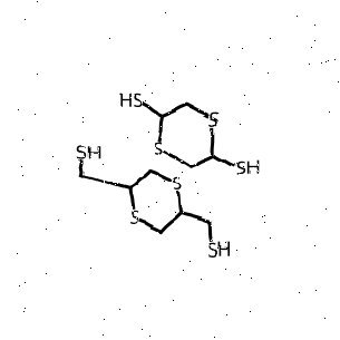 SC1CSC(S)CS1.SCC1CSC(CS)CS1